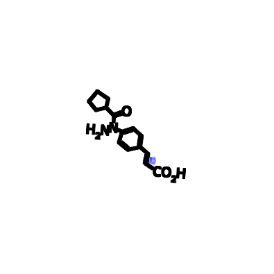 NN(C(=O)C1CCCC1)c1ccc(/C=C/C(=O)O)cc1